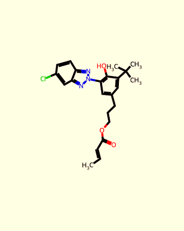 CC=CC(=O)OCCCc1cc(-n2nc3ccc(Cl)cc3n2)c(O)c(C(C)(C)C)c1